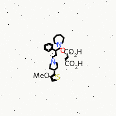 COc1ccsc1C1CCN(CCC(C(=O)N2CCCCCC2)c2ccccc2)CC1.O=C(O)C=CC(=O)O